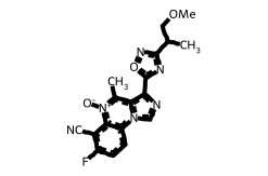 COCC(C)c1noc(-c2ncn3c2c(C)[n+]([O-])c2c(C#N)c(F)ccc23)n1